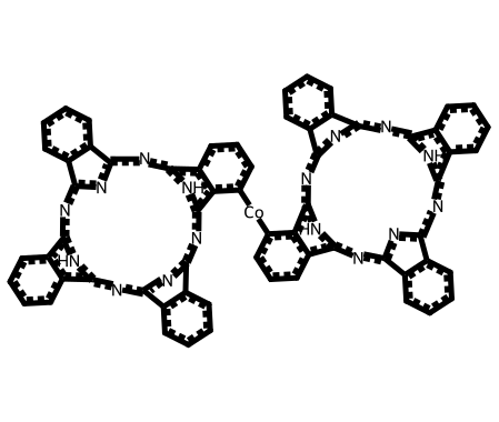 c1ccc2c(c1)-c1nc-2nc2[nH]c(nc3nc(nc4[nH]c(n1)c1ccccc41)-c1ccccc1-3)c1[c]([Co][c]3cccc4c5nc6nc(nc7[nH]c(nc8nc(nc([nH]5)c34)-c3ccccc3-8)c3ccccc73)-c3ccccc3-6)cccc21